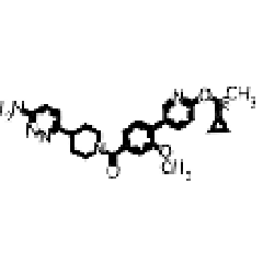 COc1cc(C(=O)N2CCC(c3ccc(N)nn3)CC2)ccc1-c1ccc(O[C@H](C)C2CC2)nc1